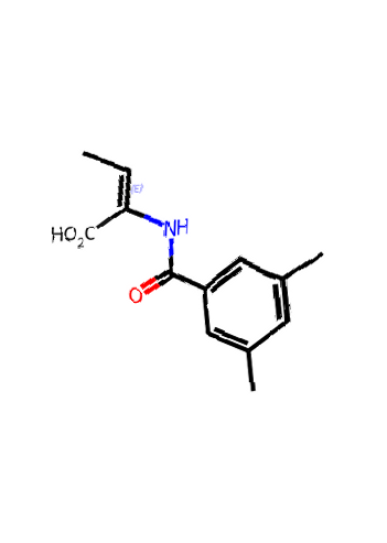 C/C=C(/NC(=O)c1cc(C)cc(C)c1)C(=O)O